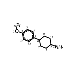 CC(C)Oc1ccc(C2CCC([NH])CC2)cc1